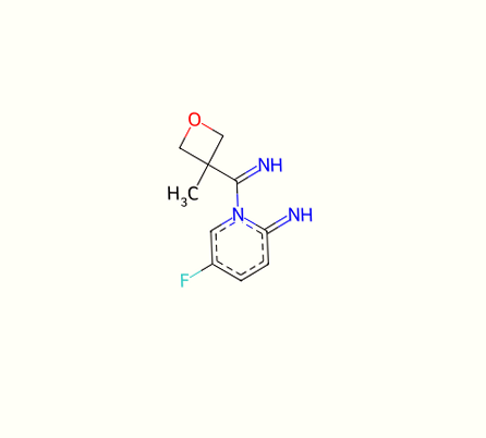 CC1(C(=N)n2cc(F)ccc2=N)COC1